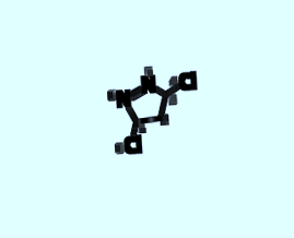 ClC1CC(Cl)N=N1